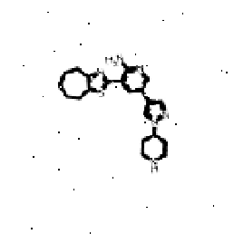 Nc1ncc(-c2cnn(C3CCNCC3)c2)cc1-c1nc2c(s1)CCCCC2